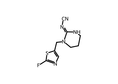 N#CN=C1NCCCN1Cc1cnc(F)s1